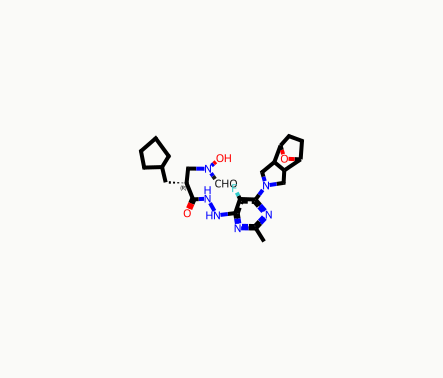 Cc1nc(NNC(=O)[C@H](CC2CCCC2)CN(O)C=O)c(F)c(N2CC3C4CCC(O4)C3C2)n1